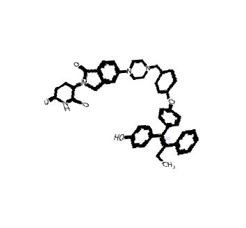 CC/C(=C(\c1ccc(O)cc1)c1ccc(OC2CCC(CN3CCN(c4ccc5c(c4)CN(C4CCC(=O)NC4=O)C5=O)CC3)CC2)cc1)c1ccccc1